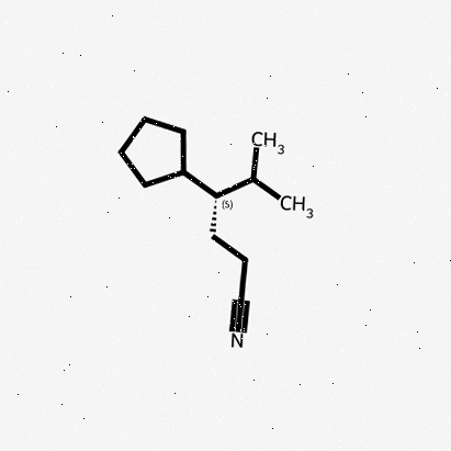 CC(C)[C@H](CCC#N)C1CCCC1